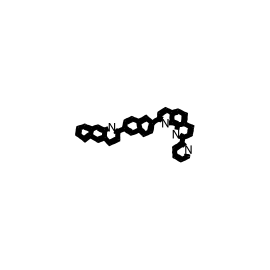 c1ccc(-c2ccc3ccc4ccc(-c5ccc6cc(-c7ccc8cc9ccccc9cc8n7)ccc6c5)nc4c3n2)nc1